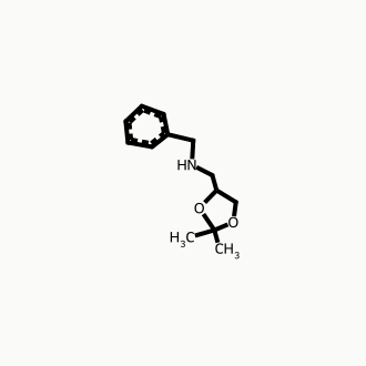 CC1(C)OCC(CNCc2ccccc2)O1